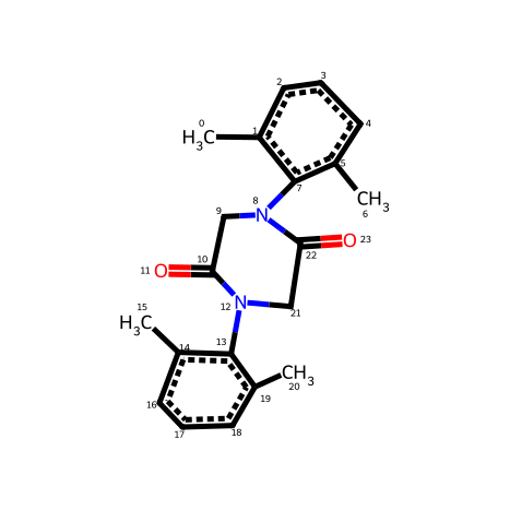 Cc1cccc(C)c1N1CC(=O)N(c2c(C)cccc2C)CC1=O